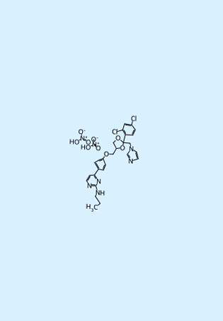 CCCNc1nccc(-c2ccc(OCC3COC(Cn4ccnc4)(c4ccc(Cl)cc4Cl)O3)cc2)n1.O=[N+]([O-])O.O=[N+]([O-])O